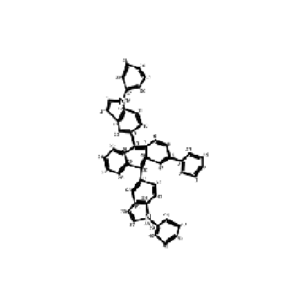 c1ccc(-c2ccc3c(-c4ccc5c(ccn5-c5ccccc5)c4)c4ccccc4c(-c4ccc5c(ccn5-c5ccccc5)c4)c3c2)cc1